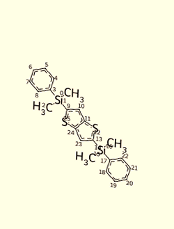 C[Si](C)(c1ccccc1)c1cc2sc([Si](C)(C)c3ccccc3)cc2s1